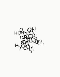 COCCCNc1nc(C(C)(C)C)ncc1C(=O)N(CC(C)C)[C@H]1C[C@@H](C(=O)O)CN(C(=O)O)C1